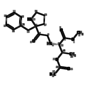 COC(=O)[C@@H](NCC(=O)C1(Cc2ccccc2)CCCN1)C(C)OC(C)=O